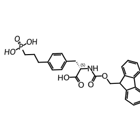 O=C(N[C@@H](Cc1ccc(CCCP(=O)(O)O)cc1)C(=O)O)OCC1c2ccccc2-c2ccccc21